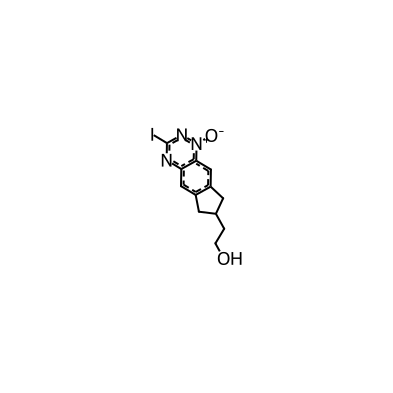 [O-][n+]1nc(I)nc2cc3c(cc21)CC(CCO)C3